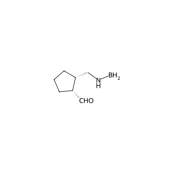 BNC[C@H]1CCC[C@H]1C=O